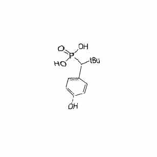 CC(C)(C)C(c1ccc(O)cc1)P(=O)(O)O